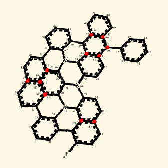 Fc1ccccc1-c1cccc(-c2ccccc2)c1N1c2ccccc2B2c3ccc(N(c4ccccc4)c4ccccc4)cc3N(c3c(-c4ccccc4)cccc3-c3ccccc3F)c3cccc1c32